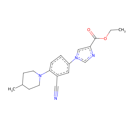 CCOC(=O)c1cn(-c2ccc(N3CCC(C)CC3)c(C#N)c2)cn1